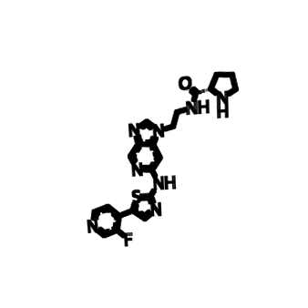 O=C(NCCn1cnc2cnc(Nc3ncc(-c4ccncc4F)s3)cc21)[C@@H]1CCCN1